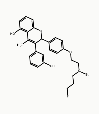 CCN(CCCF)CCOc1ccc(C2Oc3cccc(O)c3C(C)=C2c2cccc(O)c2)cc1